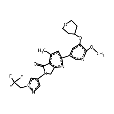 COc1ncc(-c2cc(C)c3c(n2)CN(c2cnn(CC(F)(F)F)c2)C3=O)cc1OC1CCOCC1